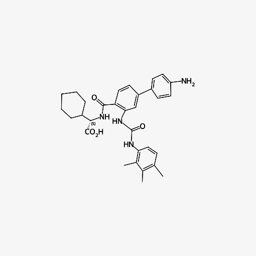 Cc1ccc(NC(=O)Nc2cc(-c3ccc(N)cc3)ccc2C(=O)N[C@H](C(=O)O)C2CCCCC2)c(C)c1C